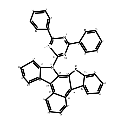 c1ccc(-c2nc(-c3ccccc3)nc(-n3c4ccccc4c4c5ccccc5c5c6ccccc6sc5c43)n2)cc1